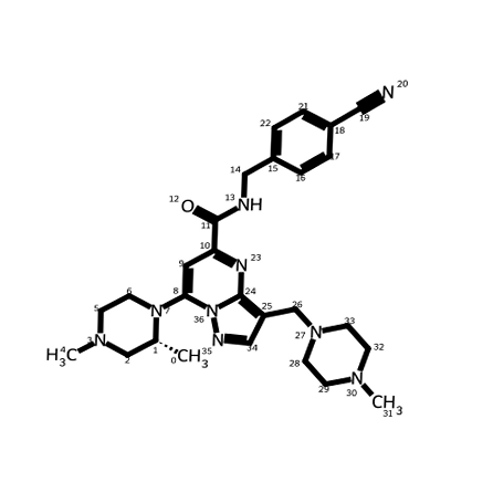 C[C@@H]1CN(C)CCN1c1cc(C(=O)NCc2ccc(C#N)cc2)nc2c(CN3CCN(C)CC3)cnn12